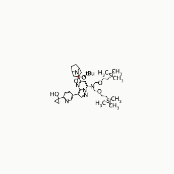 CC(C)(C)OC(=O)N1C2CCC1CC(c1cc(N(COCC[Si](C)(C)C)COCC[Si](C)(C)C)n3ncc(-c4ccc(C5(O)CC5)nc4)c3n1)C2